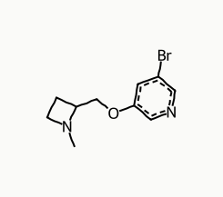 CN1CCC1COc1cncc(Br)c1